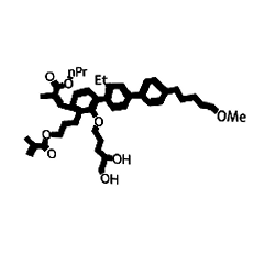 C=C(C)C(=O)OCCCc1c(C=C(C)C(=O)OCCC)ccc(-c2ccc(-c3ccc(CCCCCOC)cc3)cc2CC)c1OCCCC(O)CO